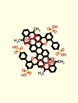 CC(C)c1cccc(C(C)C)c1N1C(=O)c2ccc3c4c(Oc5c(-c6ccc(S(=O)(=O)O)cc6)cc(S(=O)(=O)O)cc5-c5ccc(S(=O)(=O)O)cc5)cc5c6c(ccc(c7c(Oc8c(-c9ccc(S(=O)(=O)O)cc9)cc(S(=O)(=O)O)cc8-c8ccc(S(=O)(=O)O)cc8)cc(c2c37)C1=O)c64)C(=O)N(c1c(C(C)C)cccc1C(C)C)C5=O